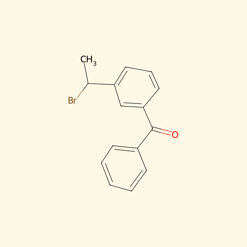 CC(Br)c1cccc(C(=O)c2ccccc2)c1